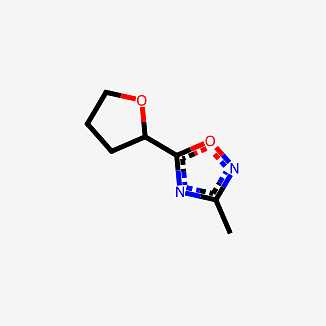 Cc1noc(C2CCCO2)n1